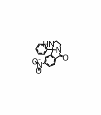 O=C1c2ccc([N+](=O)[O-])cc2C2(c3ccccc3)NCCN12